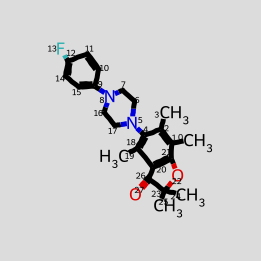 Cc1c(C)c(N2CCN(c3ccc(F)cc3)CC2)c(C)c2c1OC(C)(C)C2=O